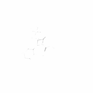 CC[Si](CC)(CC)O[C@H]1C(=O)N(C(=O)OC(C)C)[C@H]1C1CCCCC1